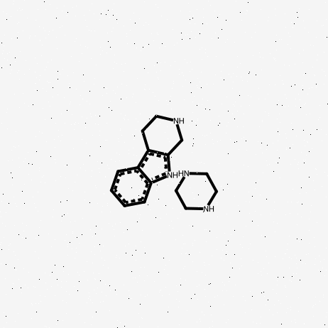 C1CNCCN1.c1ccc2c3c([nH]c2c1)CNCC3